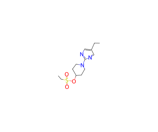 CCc1cnc(N2CCC(OS(=O)(=O)CC)CC2)nc1